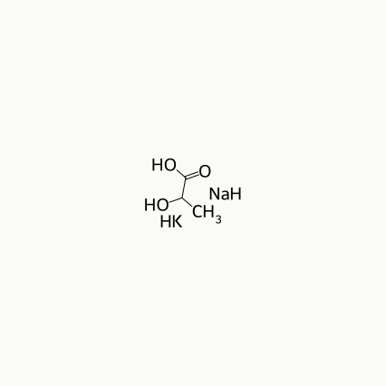 CC(O)C(=O)O.[KH].[NaH]